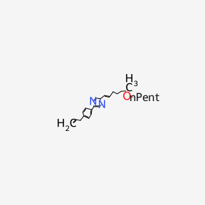 C=CCc1ccc(-c2cnc(C=CCCCC(C)OCCCCC)cn2)cc1